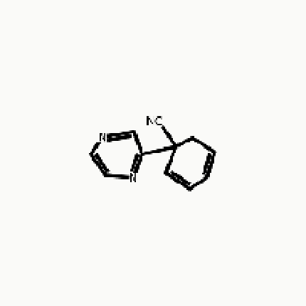 N#CC1(c2cnccn2)C=CC=CC1